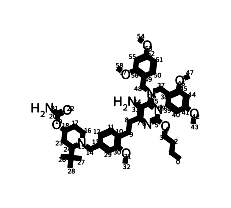 CCCCOc1nc(CCc2ccc(CN3CCC(OC(N)=O)CC3C(C)(C)C)cc2OC)c(N)c(N(Cc2ccc(OC)cc2OC)Cc2ccc(OC)cc2OC)n1